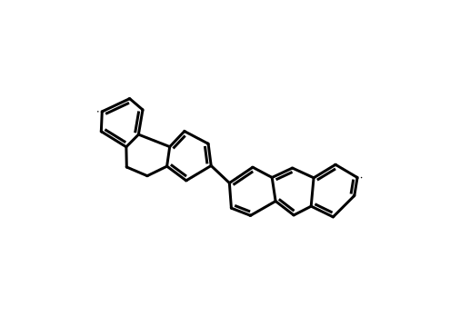 [c]1ccc2c(c1)CCc1cc(-c3ccc4cc5cc[c]cc5cc4c3)ccc1-2